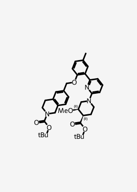 CO[C@H]1CN(c2cccc(-c3cc(C)ccc3OCc3ccc4c(c3)CCN(C(=O)OC(C)(C)C)C4)n2)CC[C@H]1C(=O)OC(C)(C)C